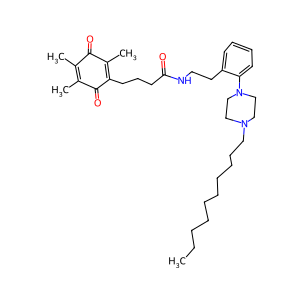 CCCCCCCCCCN1CCN(c2ccccc2CCNC(=O)CCCC2=C(C)C(=O)C(C)=C(C)C2=O)CC1